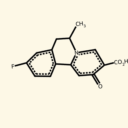 CC1Cc2cc(F)ccc2-c2cc(=O)c(C(=O)O)cn21